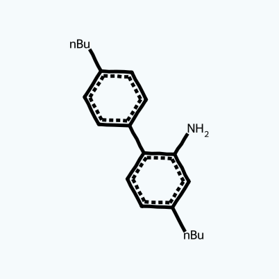 CCCCc1ccc(-c2ccc(CCCC)cc2N)cc1